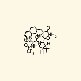 CC(C)(C)[C@H](NC(=O)C(F)(F)F)C(=O)N1C[C@H]2[C@@H]([C@H]1C(=O)NC(CC1CCc3cccnc3C1)C(N)=O)C2(C)C